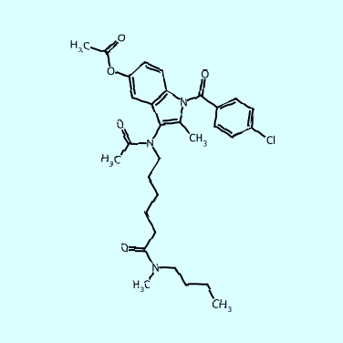 CCCCN(C)C(=O)CCCCCN(C(C)=O)c1c(C)n(C(=O)c2ccc(Cl)cc2)c2ccc(OC(C)=O)cc12